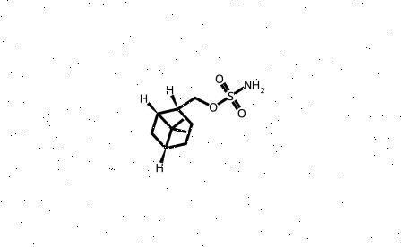 CC1(C)[C@@H]2CC[C@@H](COS(N)(=O)=O)[C@H]1C2